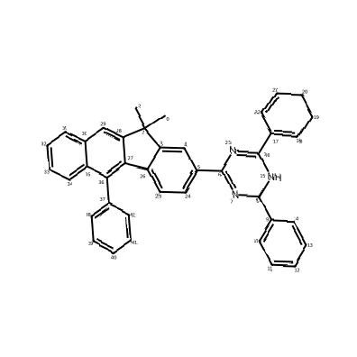 CC1(C)c2cc(C3=NC(c4ccccc4)NC(C4=CCCC=C4)=N3)ccc2-c2c1cc1ccccc1c2-c1ccccc1